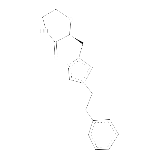 O=C1NCCO[C@H]1Cc1cn(CCc2ccccc2)cn1